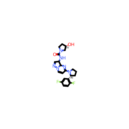 O=C(NC1C=NN2C=CC(N3CCC[C@@H]3c3cc(F)ccc3F)=NC12)N1CC[C@H](O)C1